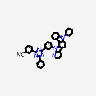 N#Cc1cccc(-c2nc(-c3ccccc3)nc(-c3cccc(-n4c5ncccc5c5ccc6c(c7ccccc7n6-c6ccccc6)c54)c3)n2)c1